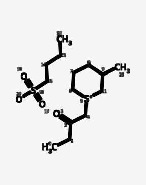 CCC(=O)C[S+]1CCCC(C)C1.CCCCS(=O)(=O)[O-]